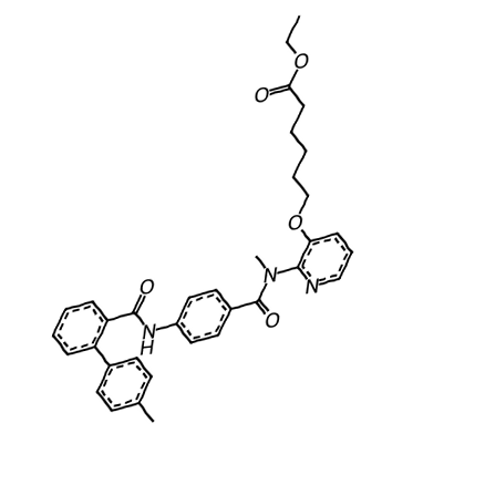 CCOC(=O)CCCCCOc1cccnc1N(C)C(=O)c1ccc(NC(=O)c2ccccc2-c2ccc(C)cc2)cc1